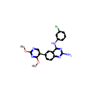 CC(C)(C)Oc1ncc(-c2ccc3nc(N)nc(Nc4cccc(Br)c4)c3c2)c(OC(C)(C)C)n1